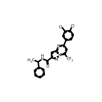 CC(NC(=O)c1cc2nc(-c3ccc(Cl)c(Cl)c3)cc(C(F)(F)F)n2n1)c1ccccc1